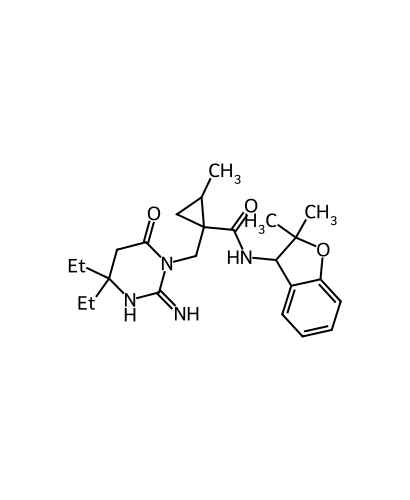 CCC1(CC)CC(=O)N(CC2(C(=O)NC3c4ccccc4OC3(C)C)CC2C)C(=N)N1